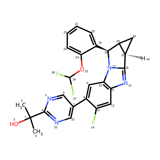 CC(C)(O)c1ncc(-c2cc3c(cc2F)nc2n3[C@@H](c3ccccc3OC(F)F)C3C[C@@H]23)cn1